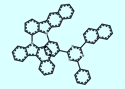 c1ccc(-c2nc(-c3cccc(-n4c5cc6ccccc6cc5c5cccc(-n6c7ccccc7c7c8ccccc8ccc76)c54)c3)nc(-c3ccc4ccccc4c3)n2)cc1